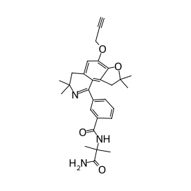 C#CCOc1cc2c(c3c1OC(C)(C)C3)C(c1cccc(C(=O)NC(C)(C)C(N)=O)c1)=NC(C)(C)C2